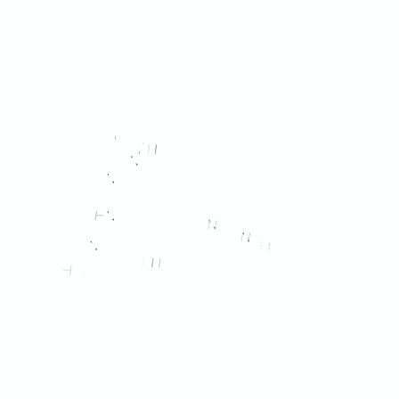 Cc1cc(C)nc(Nc2cc(-c3ccc(N4CCN(C(C)C)CC4)cc3)cc3c2nc(-c2ccco2)n3C)c1